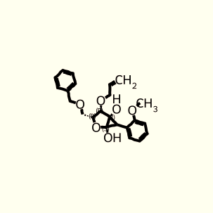 C=CCO[C@@H]1[C@@H](COCc2ccccc2)O[C@@]2(O)C(c3ccccc3OC)[C@@]12O